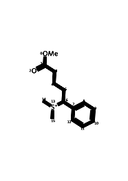 COC(=O)CCCC(c1ccccc1)[S+](C)C